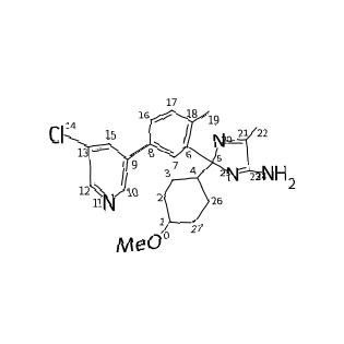 COC1CCC(C2(c3cc(-c4cncc(Cl)c4)ccc3C)N=C(C)C(N)=N2)CC1